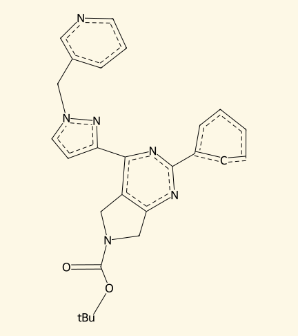 CC(C)(C)OC(=O)N1Cc2nc(-c3ccccc3)nc(-c3ccn(Cc4cccnc4)n3)c2C1